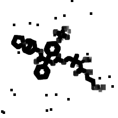 CC(C)(COC(=O)OC(C(=O)OC1CC2CCC(C1)[N+]21CCCC1)(c1ccccc1)c1ccccc1)[C@H](O)C(=O)NCCC(=O)O.O=S(=O)([O-])C(F)(F)F